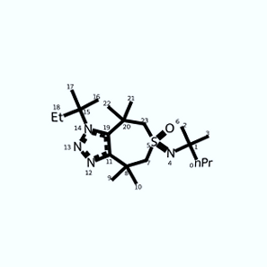 CCCC(C)(C)N=S1(=O)CC(C)(C)c2nnn(C(C)(C)CC)c2C(C)(C)C1